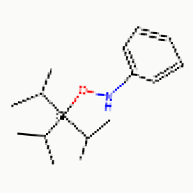 CC(C)[Si](ONc1ccccc1)(C(C)C)C(C)C